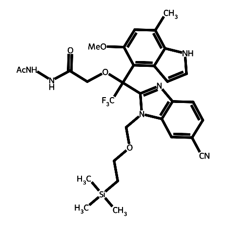 COc1cc(C)c2[nH]ccc2c1C(OCC(=O)NNC(C)=O)(c1nc2ccc(C#N)cc2n1COCC[Si](C)(C)C)C(F)(F)F